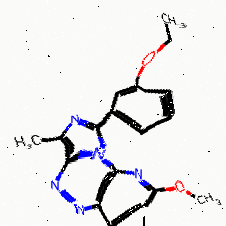 CCOc1cccc(-c2nc(C)c3nnc4ccc(OC)nc4n23)c1